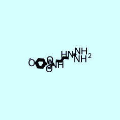 COc1ccc(S(=O)(=O)NCCCCNC(=N)N)cc1